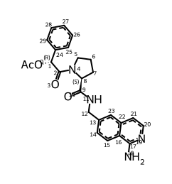 CC(=O)O[C@@H](C(=O)N1CCC[C@H]1C(=O)NCc1ccc2c(N)nccc2c1)c1ccccc1